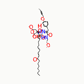 CC#CCOc1ccc(C[C@H](NC(=O)[C@@H](C=CCCCCCCC(=O)CCCCCCC)[C@@](O)(CCOC)C(=O)O)C(=O)NCCOC)cc1